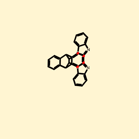 c1ccc2c(c1)C1c3ccccc3C2C(n2cnc3ccccc32)C1n1cnc2ccccc21